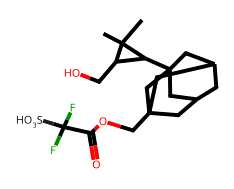 CC1(C)C(CO)C1C12CC3CC(CC(COC(=O)C(F)(F)S(=O)(=O)O)(C3)C1)C2